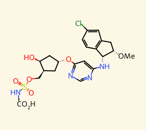 CO[C@H]1Cc2cc(Cl)ccc2[C@H]1Nc1cc(O[C@@H]2C[C@@H](COS(=O)(=O)NC(=O)O)[C@@H](O)C2)ncn1